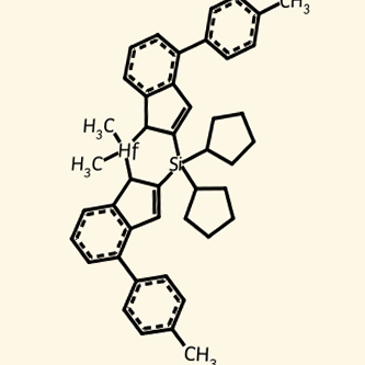 Cc1ccc(-c2cccc3c2C=C2[CH]3[Hf]([CH3])([CH3])[CH]3C(=Cc4c(-c5ccc(C)cc5)cccc43)[Si]2(C2CCCC2)C2CCCC2)cc1